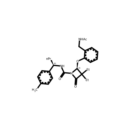 CCC[C@@H](NC(=O)N1C(=O)C(CC)(CC)[C@@H]1Oc1ccccc1CNC(C)=O)c1ccc(C)cc1